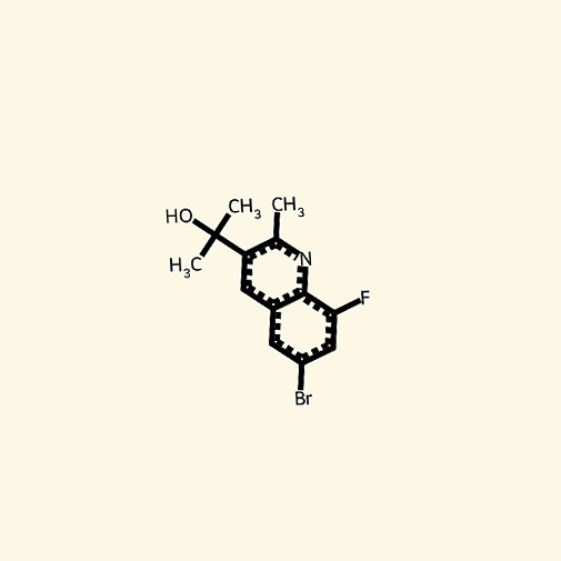 Cc1nc2c(F)cc(Br)cc2cc1C(C)(C)O